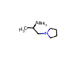 C[CH]([AlH2])CN1CCCC1